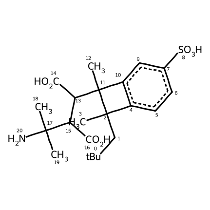 CC(C)(C)CC1(C)c2ccc(S(=O)(=O)O)cc2C1(C)C(C(=O)O)C(C(=O)O)C(C)(C)N